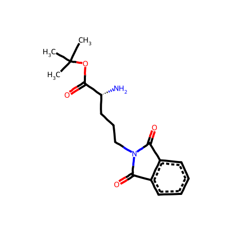 CC(C)(C)OC(=O)[C@H](N)CCCN1C(=O)c2ccccc2C1=O